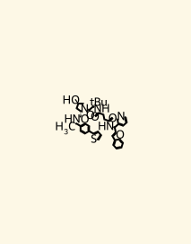 C[C@@H](NC(=O)[C@@H]1C[C@@H](O)CN1C(=O)[C@@H](NC(=O)CCC(=O)NC(c1cccnc1)c1cc2ccccc2o1)C(C)(C)C)c1ccc(-c2cccs2)cc1